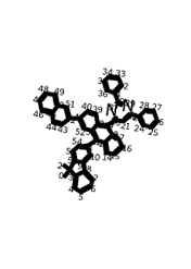 CC1(C)c2ccccc2-c2cc(-c3c4ccccc4c(-c4cc(-c5ccccc5)nc(-c5ccccc5)n4)c4ccc(-c5ccc6ccccc6c5)cc34)ccc21